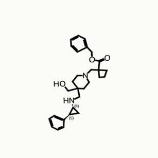 O=C(OCc1ccccc1)C1(CN2CCC(CO)(CN[C@@H]3C[C@H]3c3ccccc3)CC2)CCC1